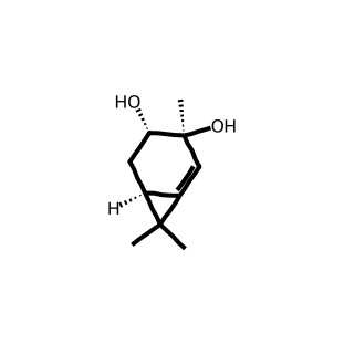 CC1(C)C2=C[C@](C)(O)[C@@H](O)C[C@@H]21